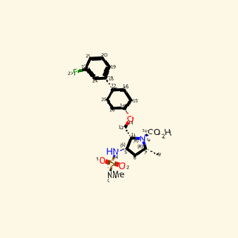 CNS(=O)(=O)N[C@H]1C[C@@H](C)N(C(=O)O)[C@H]1CO[C@H]1CC[C@@H](c2cccc(F)c2)CC1